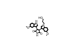 COc1ccc2[nH]cc(C3=C(c4cn(CCCO)c5ccc(OC)cc45)C(=O)NC3=O)c2c1